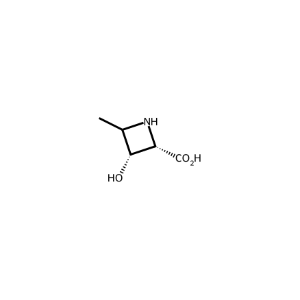 CC1N[C@H](C(=O)O)[C@@H]1O